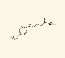 CCCCCCCCNCCCOc1ccc(C(=O)O)cc1